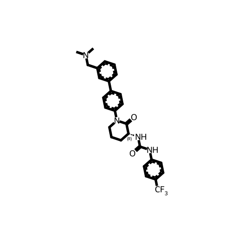 CN(C)Cc1cccc(-c2ccc(N3CCC[C@@H](NC(=O)Nc4ccc(C(F)(F)F)cc4)C3=O)cc2)c1